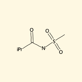 CC(C)C(=O)[N]S(C)(=O)=O